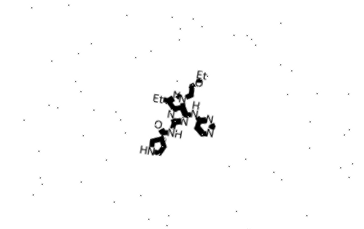 CCOCCn1nc(CC)c2nc(NC(=O)[C@H]3CCNC3)nc(Nc3ccncn3)c21